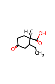 CCC1CC(=O)CCC1(C)C(=O)O